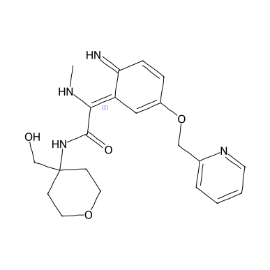 CN/C(C(=O)NC1(CO)CCOCC1)=C1/C=C(OCc2ccccn2)C=CC1=N